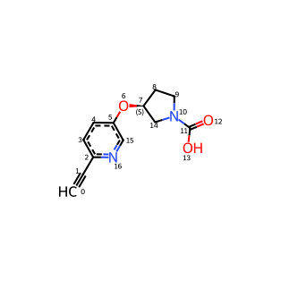 C#Cc1ccc(O[C@H]2CCN(C(=O)O)C2)cn1